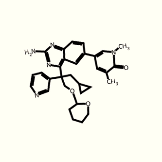 Cc1cc(-c2ccc3nc(N)nc(C(COC4CCCCO4)(CC4CC4)c4cccnc4)c3c2)cn(C)c1=O